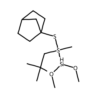 CO[SiH](OC)S(C)(CC(C)(C)C)SC12CCC(CC1)C2